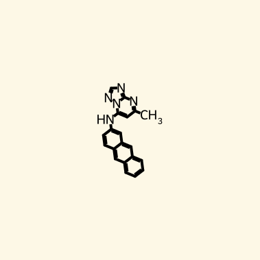 Cc1cc(Nc2ccc3cc4ccccc4cc3c2)n2ncnc2n1